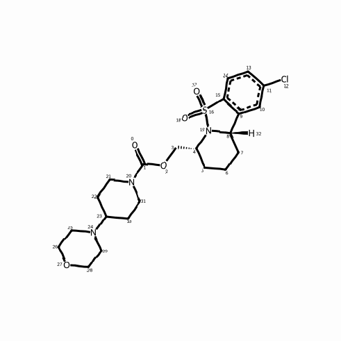 O=C(OC[C@H]1CCC[C@H]2c3cc(Cl)ccc3S(=O)(=O)N12)N1CCC(N2CCOCC2)CC1